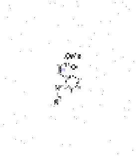 COC(=O)/C=C\c1ccccc1N=[N+]=[N-]